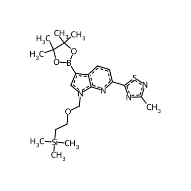 Cc1nsc(-c2ccc3c(B4OC(C)(C)C(C)(C)O4)cn(COCC[Si](C)(C)C)c3n2)n1